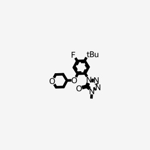 Cn1nnn(-c2cc(C(C)(C)C)c(F)cc2OC2CCOCC2)c1=O